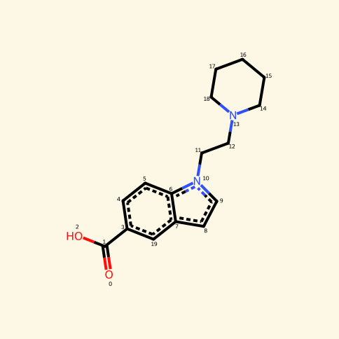 O=C(O)c1ccc2c(ccn2CCN2CCCCC2)c1